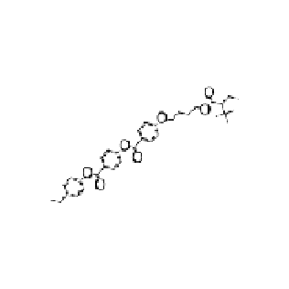 CCc1ccc(OC(=O)c2ccc(OC(=O)c3ccc(OCCCCOC(=O)C(CC)C(C)(C)C)cc3)cc2)cc1